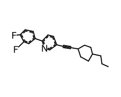 CCCC1CCC(C#Cc2ccc(-c3ccc(F)c(F)c3)nc2)CC1